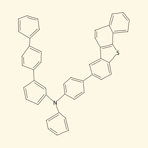 c1ccc(-c2ccc(-c3cccc(N(c4ccccc4)c4ccc(-c5ccc6sc7c8ccccc8ccc7c6c5)cc4)c3)cc2)cc1